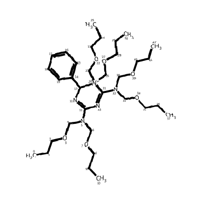 CCCOCN(COCCC)C1=NC(c2ccccc2)[N+](COCCC)(COCCC)C(N(COCCC)COCCC)=N1